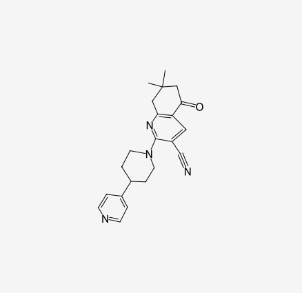 CC1(C)CC(=O)c2cc(C#N)c(N3CCC(c4ccncc4)CC3)nc2C1